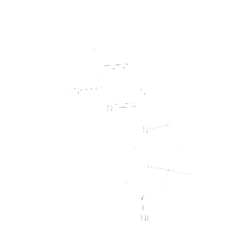 Cc1nc(N2CCC(C)(OC(N)=O)CC2)nc(N)c1Br